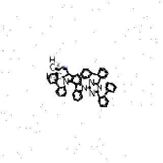 C=C/C=C\c1c(C)n(-c2ccccc2-c2ccccc2)c2c1ccc1c2c2ccccc2n1-c1nc(-c2ccccc2-c2ccccc2)nc(-c2ccccc2-c2ccccc2)n1